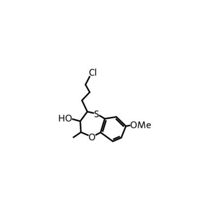 COc1ccc2c(c1)SC(CCCCl)C(O)C(C)O2